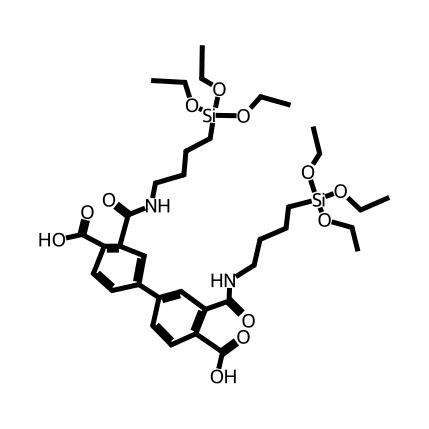 CCO[Si](CCCCNC(=O)c1cc(-c2ccc(C(=O)O)c(C(=O)NCCCC[Si](OCC)(OCC)OCC)c2)ccc1C(=O)O)(OCC)OCC